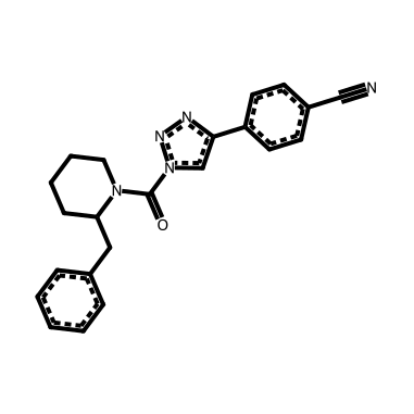 N#Cc1ccc(-c2cn(C(=O)N3CCCCC3Cc3ccccc3)nn2)cc1